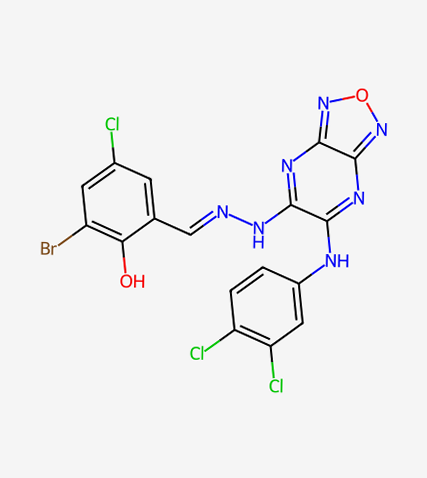 Oc1c(Br)cc(Cl)cc1C=NNc1nc2nonc2nc1Nc1ccc(Cl)c(Cl)c1